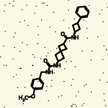 COc1ccc(CNC(=O)NC2CC3(C2)CC(C(=O)NC2CC(c4ccccc4)C2)C3)cc1